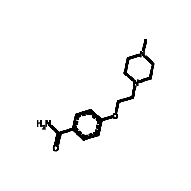 CN1CCN(CCOc2ccc(C(N)=O)cc2)CC1